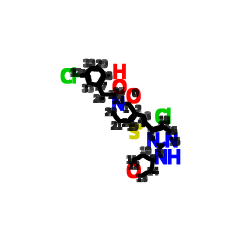 O=C1c2cc(-c3nc(NC4CCOCC4)ncc3Cl)sc2CCN1[C@@H](O)[CH]c1cccc(Cl)c1